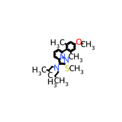 CCCN(CC(C)C)c1c(SC)nn2c(-c3c(C)cc(OC)cc3C)cccc12